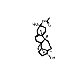 CC(=O)O[C@@]1(O)CC[C@@]2(C)C(=CC[C@H]3[C@@H]4CC[C@H](O)[C@@]4(C)CC[C@@H]32)C1